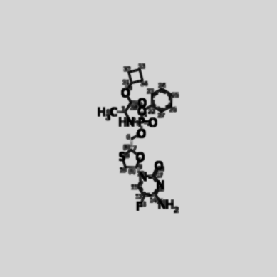 CC(NP(=O)(OC[C@@H]1O[C@H](n2cc(F)c(N)nc2=O)CS1)Oc1ccccc1)C(=O)OC1CCC1